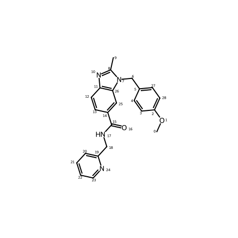 COc1ccc(Cn2c(C)nc3ccc(C(=O)NCc4ccccn4)cc32)cc1